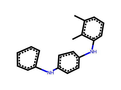 Cc1cccc(Nc2ccc(Nc3ccccc3)cc2)c1C